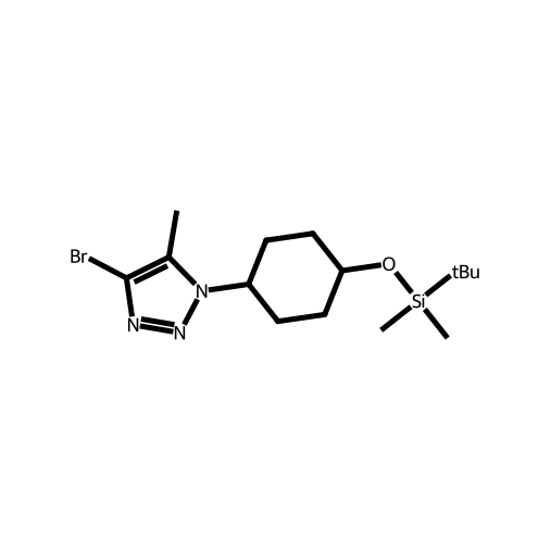 Cc1c(Br)nnn1C1CCC(O[Si](C)(C)C(C)(C)C)CC1